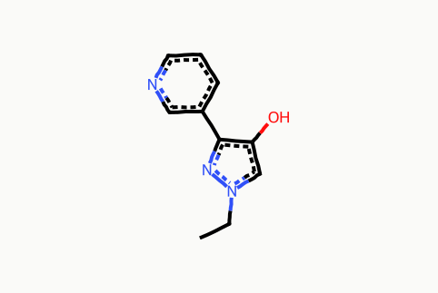 CCn1cc(O)c(-c2cccnc2)n1